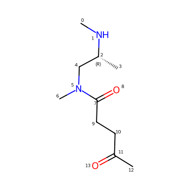 CN[C@H](C)CN(C)C(=O)CCC(C)=O